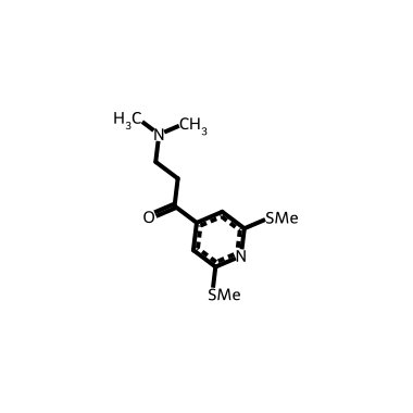 CSc1cc(C(=O)CCN(C)C)cc(SC)n1